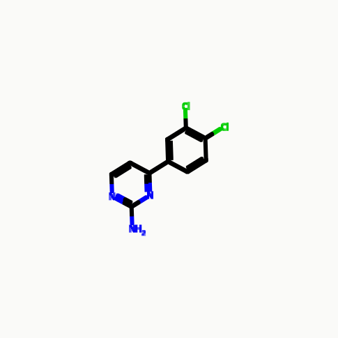 Nc1nccc(-c2ccc(Cl)c(Cl)c2)n1